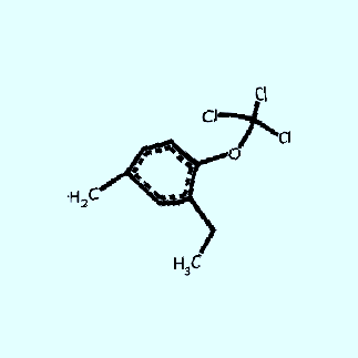 [CH2]c1ccc(OC(Cl)(Cl)Cl)c(CC)c1